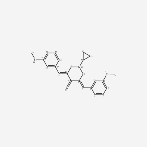 COc1cccc(C=C2CN(C3CC3)CC(=Cc3cccc(OC)c3)C2=O)c1